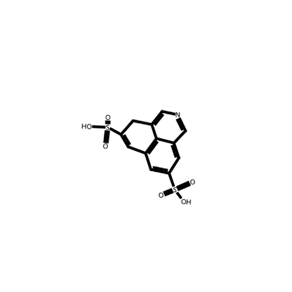 O=S(=O)(O)C1=Cc2cc(S(=O)(=O)O)cc3cncc(c23)C1